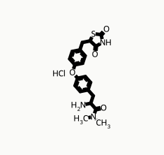 CN(C)C(=O)C(N)Cc1ccc(Oc2ccc(CC3SC(=O)NC3=O)cc2)cc1.Cl